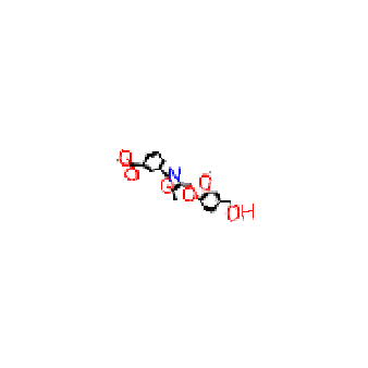 COC(=O)c1cccc(-c2nc(COc3ccc(CO)cc3OC)c(C)o2)c1